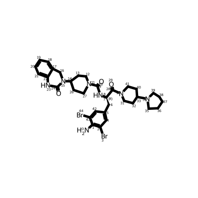 Nc1c(Br)cc(C[C@@H](NC(=O)N2CCC(N3Cc4ccccc4NC3=O)CC2)C(=O)N2CCC(N3CCCCC3)CC2)cc1Br